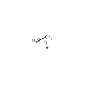 C[SiH3].[Ti].[V]